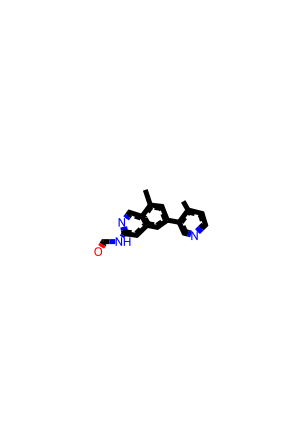 Cc1ccncc1-c1cc(C)c2cnc(NC=O)cc2c1